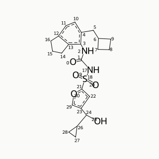 O=C(Nc1c(CC2CCC2)ccc2c1CCC2)NS(=O)(=O)c1cc(C(O)C2CC2)co1